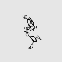 COc1cc(OC)cc(OC(C)(C)C(=O)NC2[C@@H]3CC4C[C@H]2CC(O)(C4)C3)c1